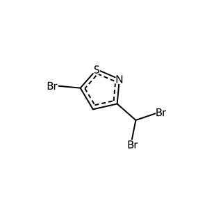 Brc1cc(C(Br)Br)ns1